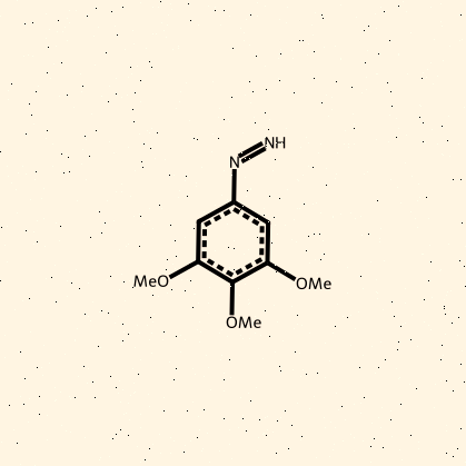 COc1cc(N=N)cc(OC)c1OC